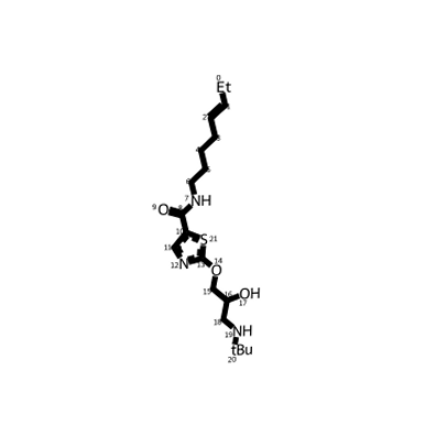 CC/C=C/CCCCNC(=O)c1cnc(OCC(O)CNC(C)(C)C)s1